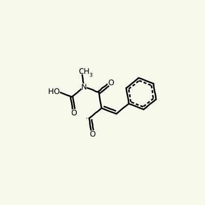 CN(C(=O)O)C(=O)C([C]=O)=Cc1ccccc1